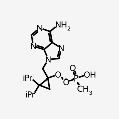 CC(C)C1(C(C)C)CC1(Cn1cnc2c(N)ncnc21)OOP(C)(=O)O